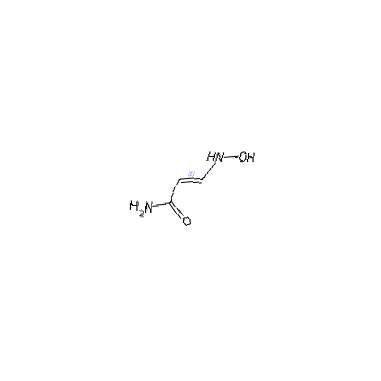 NC(=O)/C=C/NO